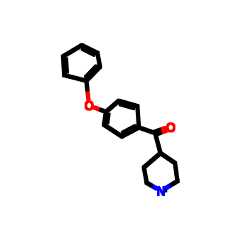 O=C(c1ccc(Oc2ccccc2)cc1)C1CC[N]CC1